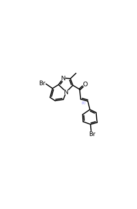 Cc1nc2c(Br)cccn2c1C(=O)/C=C/c1ccc(Br)cc1